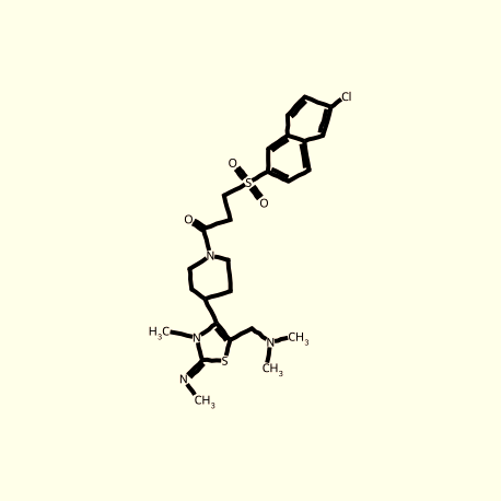 C/N=c1\sc(CN(C)C)c(C2CCN(C(=O)CCS(=O)(=O)c3ccc4cc(Cl)ccc4c3)CC2)n1C